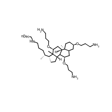 CCCCCCCCCCCNCCC[C@@H](C)[C@H]1CC[C@H]2C3[C@H](OCCCN)CC4C[C@H](OCCCN)CC[C@]4(C)[C@H]3C[C@H](OCCCN)C12C